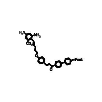 CCCCCc1ccc(-c2ccc(C(=O)C=Cc3ccc(OCCCCCc4c(N)cc(N)cc4C(=O)O)cc3)cc2)cc1